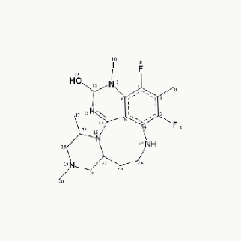 Cc1c(F)c2c3c(c1F)N(I)C(O)N=C3N1C(C)CN(C)CC1CCN2